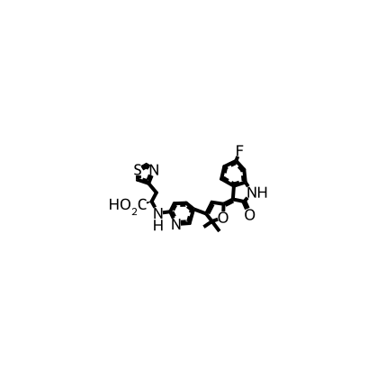 CC1(C)OC(=C2C(=O)Nc3cc(F)ccc32)C=C1c1ccc(N[C@@H](Cc2cscn2)C(=O)O)nc1